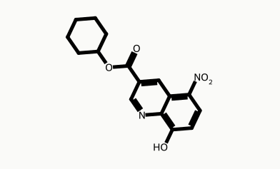 O=C(OC1CCCCC1)c1cnc2c(O)ccc([N+](=O)[O-])c2c1